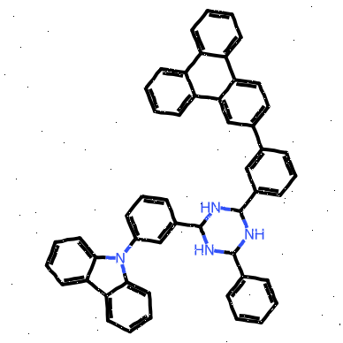 c1ccc(C2NC(c3cccc(-c4ccc5c6ccccc6c6ccccc6c5c4)c3)NC(c3cccc(-n4c5ccccc5c5ccccc54)c3)N2)cc1